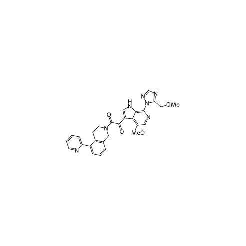 COCc1ncnn1-c1ncc(OC)c2c(C(=O)C(=O)N3CCc4c(cccc4-c4ccccn4)C3)c[nH]c12